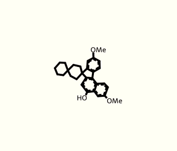 COc1ccc2c(c1)C1(CCC3(CCCCC3)CC1)c1cc(O)c3cc(OC)ccc3c1-2